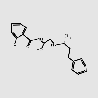 C[C@H](CCc1ccccc1)NC[C@@H](O)NC(=O)c1ccccc1O